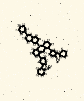 Cn1c2ccccc2c2cc(-c3cccc4c(-c5ccc6cc(-c7ccccc7)ccc6c5)c5cccc(-c6ccc7c(c6)c6ccccc6n7C)c5cc34)ccc21